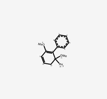 COC1=C(c2ccccc2)C(P)(OC)CC=C1